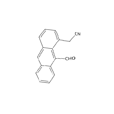 N#CCc1cccc2cc3ccccc3c(C=O)c12